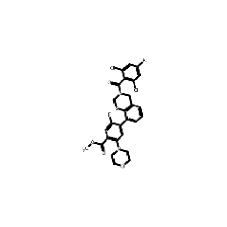 COC(=O)c1cc(F)c(-c2cccc3c2SCN(C(=O)c2c(Cl)cc(Br)cc2Cl)C3)cc1N1CCOCC1